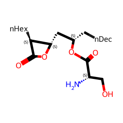 CCCCCCCCCCC[C@@H](C[C@@H]1OC(=O)[C@H]1CCCCCC)OC(=O)[C@@H](N)CO